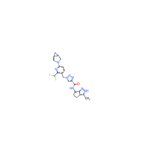 Cc1[nH]nc2c1CC[C@H]2NC(=O)c1cn(Cc2ccc(N3CC4CC4C3)nc2C(F)F)nn1